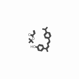 C=CC(=O)OC(C)(C)C.CC(=CC=Cc1ccc(C(C)C)cc1)c1ccc(O)cc1